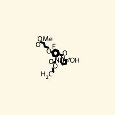 C=CCOC(=O)Nc1cc(OCCCC(=O)OC)c(F)cc1C(=O)N1CCC[C@H]1CO